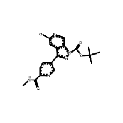 CNC(=O)c1ccc(-c2nn(C(=O)OC(C)(C)C)c3cnc(Cl)cc23)cn1